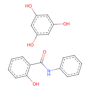 O=C(Nc1ccccc1)c1ccccc1O.Oc1cc(O)cc(O)c1